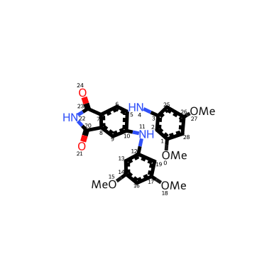 COc1cc(Nc2cc3c(cc2Nc2cc(OC)cc(OC)c2)C(=O)NC3=O)cc(OC)c1